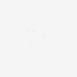 [Au].[MgH2].[SiH4].[SnH2]